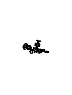 C#CCOc1ccc2nc(C(=O)c3ccc4c(c3)OCCO4)nc(-c3ccc(C(C)C)cc3)c2c1